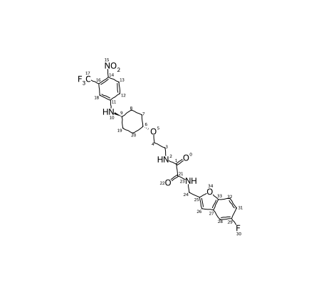 O=C(NCCO[C@H]1CC[C@H](Nc2ccc([N+](=O)[O-])c(C(F)(F)F)c2)CC1)C(=O)NCc1cc2cc(F)ccc2o1